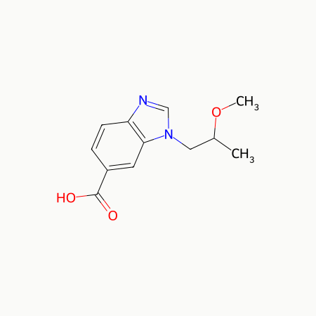 COC(C)Cn1cnc2ccc(C(=O)O)cc21